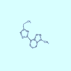 CCc1csc(-c2cccc3c2cnn3C)n1